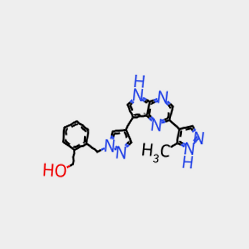 Cc1[nH]ncc1-c1cnc2[nH]cc(-c3cnn(Cc4ccccc4CO)c3)c2n1